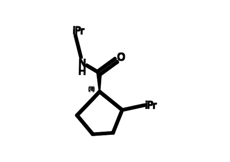 CC(C)NC(=O)[C@@H]1CCCC1C(C)C